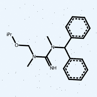 CC(C)OCN(C)C(=N)N(C)C(c1ccccc1)c1ccccc1